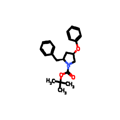 CC(C)(C)OC(=O)N1C[C@H](Oc2ccccc2)C[C@@H]1Cc1ccccc1